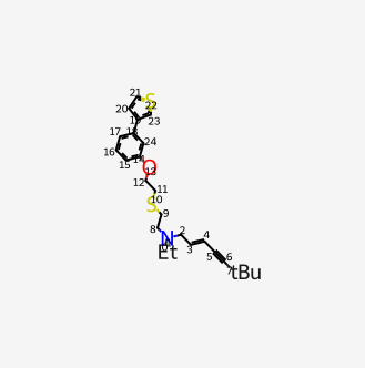 CCN(C/C=C/C#CC(C)(C)C)CCSCCOc1cccc(-c2ccsc2)c1